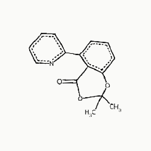 CC1(C)OC(=O)c2c(cccc2-c2ccccn2)O1